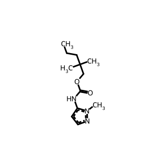 CCCC(C)(C)COC(=O)Nc1ccnn1C